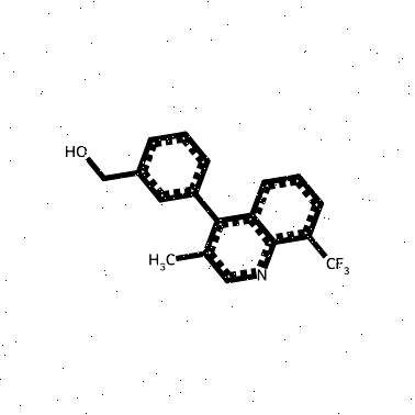 Cc1cnc2c(C(F)(F)F)cccc2c1-c1cccc(CO)c1